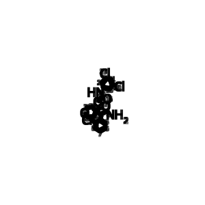 NC(=O)C(c1ccccc1Cl)C1(COC(=O)Nc2cc(Cl)cc(Cl)c2)CCOCC1